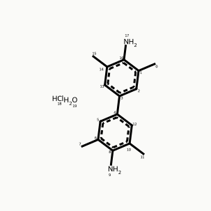 Cc1cc(-c2cc(C)c(N)c(C)c2)cc(C)c1N.Cl.O